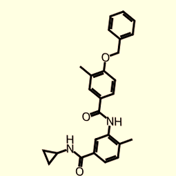 Cc1ccc(C(=O)NC2CC2)cc1NC(=O)c1ccc(OCc2ccccc2)c(C)c1